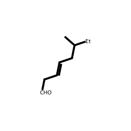 CCC(C)CC=CCC=O